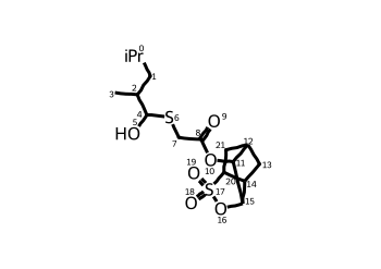 CC(C)CC(C)C(O)SCC(=O)OC1C2CC3C1OS(=O)(=O)C3C2